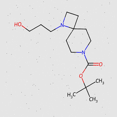 CC(C)(C)OC(=O)N1CCC2(CC1)CCN2CCCO